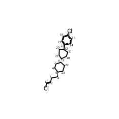 Cl/C=C/CC[C@H]1CC[C@H](C2CCC(c3ccc(Cl)cc3)CC2)CC1